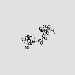 CC(C(=O)c1cccc(Cl)c1)N(C(=O)OCOC(=O)CCC(=O)OCCCOC(=O)c1cc(S(N)(=O)=O)c(Cl)cc1NCc1ccco1)C(C)(C)C